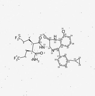 NC(=O)[C@@H](CCC(F)(F)F)[C@@H](CCC(F)(F)F)C(=O)N[C@H]1N=C(c2cccc(C3CC3)c2)c2cccc(Cl)c2NC1=O